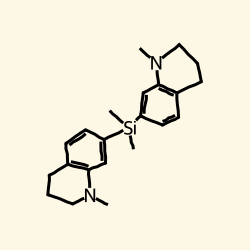 CN1CCCc2ccc([Si](C)(C)c3ccc4c(c3)N(C)CCC4)cc21